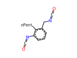 CCCCCc1c(CN=C=O)cccc1N=C=O